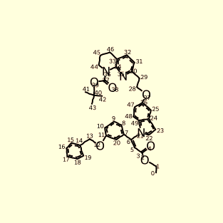 CCOC(=O)/C=C(/c1cccc(OCc2ccccc2)c1)n1ccc2cc(OCCc3ccc4c(n3)N(C(=O)OC(C)(C)C)CCC4)ccc21